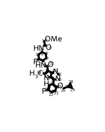 COCC(=O)NC1CCC(NC(=O)c2c(C)[nH]c3c(-c4cc(F)ccc4OCC4CC4)ncnc23)C(F)C1